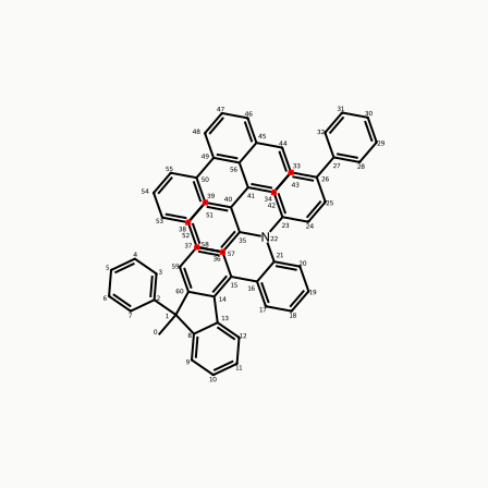 CC1(c2ccccc2)c2ccccc2-c2c(-c3ccccc3N(c3ccc(-c4ccccc4)cc3)c3ccccc3-c3cccc4cccc(-c5ccccc5)c34)cccc21